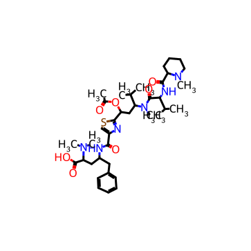 CC(=O)OC(CC(C(C)C)N(C)C(=O)C(NC(=O)C1CCCCN1C)C(C)C)c1nc(C(=O)NC(Cc2ccccc2)CC(C(=O)O)N(C)C)cs1